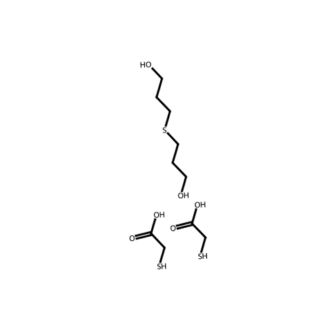 O=C(O)CS.O=C(O)CS.OCCCSCCCO